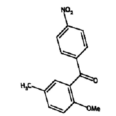 COc1ccc(C)cc1C(=O)c1ccc([N+](=O)[O-])cc1